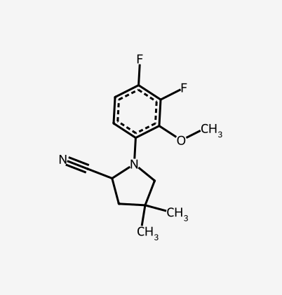 COc1c(N2CC(C)(C)CC2C#N)ccc(F)c1F